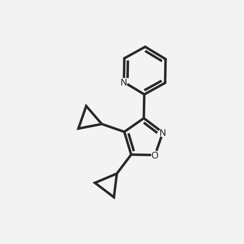 c1ccc(-c2noc(C3CC3)c2C2CC2)nc1